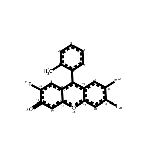 Cc1ccccc1-c1c2cc(F)c(=O)cc-2oc2cc(I)c(F)cc12